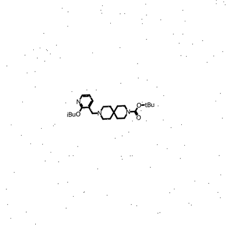 CC(C)COc1ncccc1CN1CCC2(CC1)CCN(C(=O)OC(C)(C)C)CC2